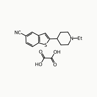 CCN1CCC(c2cc3cc(C#N)ccc3s2)CC1.O=C(O)C(=O)O